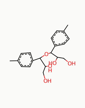 Cc1ccc(C(OC(c2ccc(C)cc2)C(O)CO)C(O)CO)cc1